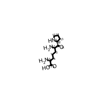 NC(CCC[C@H](N)C(=O)O)C(=O)[C@@H]1CCCN1